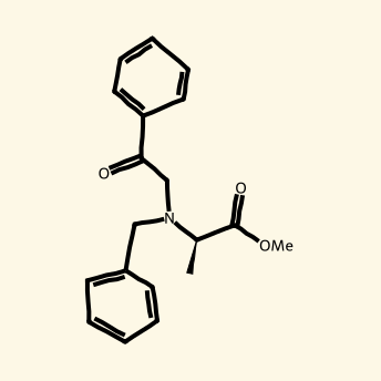 COC(=O)[C@@H](C)N(CC(=O)c1ccccc1)Cc1ccccc1